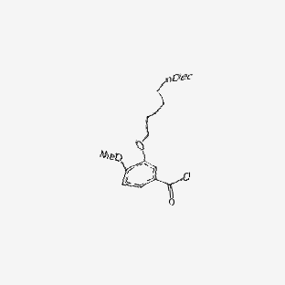 CCCCCCCCCCCCCCOc1cc(C(=O)Cl)ccc1OC